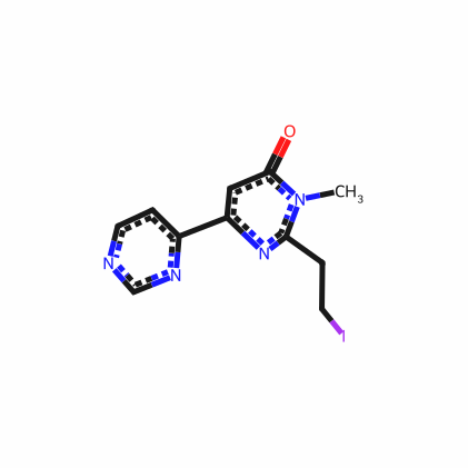 Cn1c(CCI)nc(-c2ccncn2)cc1=O